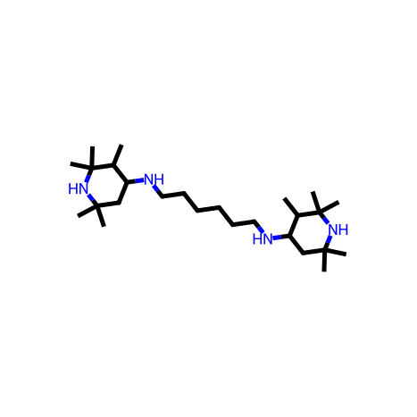 CC1C(NCCCCCCNC2CC(C)(C)NC(C)(C)C2C)CC(C)(C)NC1(C)C